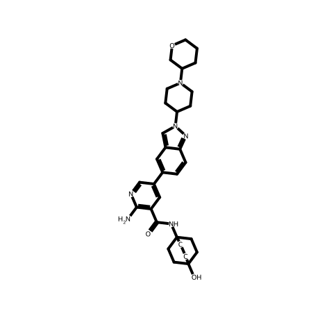 Nc1ncc(-c2ccc3nn(C4CCN(C5CCCOC5)CC4)cc3c2)cc1C(=O)NC12CCC(O)(CC1)CC2